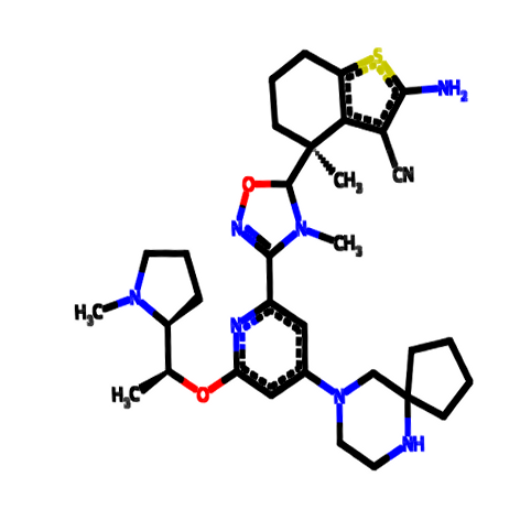 C[C@H](Oc1cc(N2CCNC3(CCCC3)C2)cc(C2=NOC([C@@]3(C)CCCc4sc(N)c(C#N)c43)N2C)n1)[C@@H]1CCCN1C